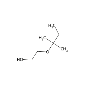 CCC(C)(C)OCCO